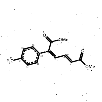 COC(=O)C=CC=C(C(=O)OC)c1ccc(C(F)(F)F)cc1